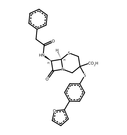 O=C(Cc1ccccc1)N[C@@H]1C(=O)N2CC(Sc3ccc(-c4ccco4)cc3)(C(=O)O)CS[C@H]12